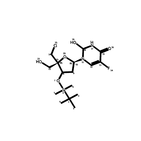 CC(C)(C)[Si](C)(C)OC1C[C@H](N2C=C(F)C(=O)NC2O)O[C@@]1(CO)CCl